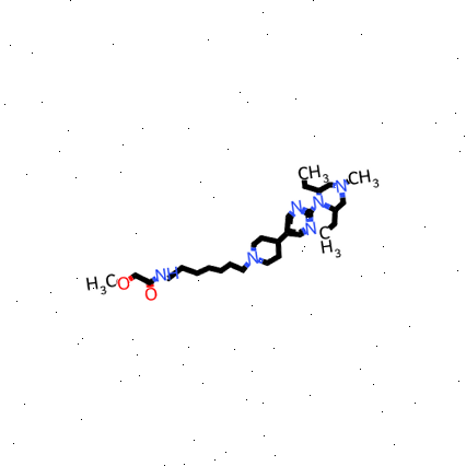 CCC1CN(C)CC(CC)N1c1ncc(C2CCN(CCCCCCCNC(=O)COC)CC2)cn1